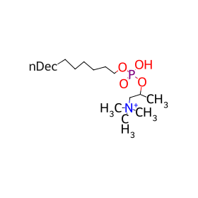 CCCCCCCCCCCCCCCCOP(=O)(O)OC(C)C[N+](C)(C)C